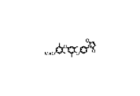 COc1cc(C)c(Oc2cc(C)c(Oc3ccc(N4C(=O)C=CC4=O)cc3)c(C)c2)c(C)c1